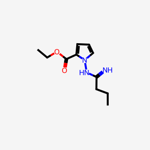 CCCC(=N)Nn1cccc1C(=O)OCC